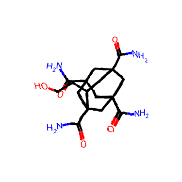 NC(=O)C12CC3(C(N)=O)CC(C(N)=O)(C1)C(CCO)C(C(N)=O)(C2)C3